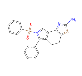 Nc1nc2c(s1)CCc1c-2cn(S(=O)(=O)c2ccccc2)c1-c1ccccc1